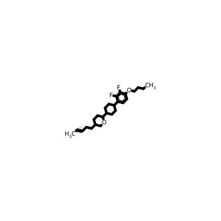 C/C=C/CCC1CCC(C2CCC(c3ccc(OCCCC)c(F)c3F)CC2)OC1